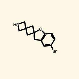 Brc1ccc2c(c1)CC1(CC3(CNC3)C1)O2